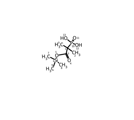 CC(C)(C(=O)O[Si](C)(C)C)P(=O)(O)O